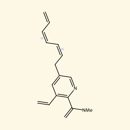 C=C/C=C\C=C/Cc1cnc(C(=C)NC)c(C=C)c1